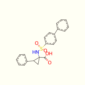 O=C(O)C1(NS(=O)(=O)c2ccc(-c3ccccc3)cc2)CC1c1ccccc1